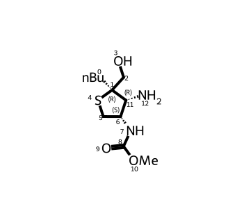 CCCC[C@@]1(CO)SC[C@@H](NC(=O)OC)[C@H]1N